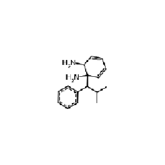 CC(C)C(c1ccccc1)C1(N)C=CC=CC1N